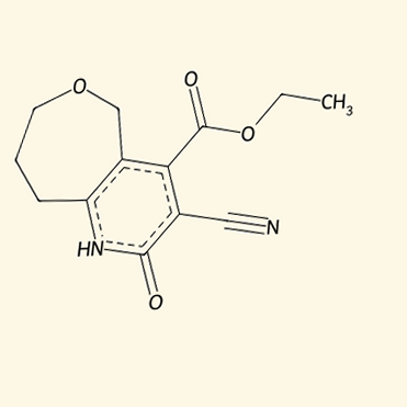 CCOC(=O)c1c2c([nH]c(=O)c1C#N)CCCOC2